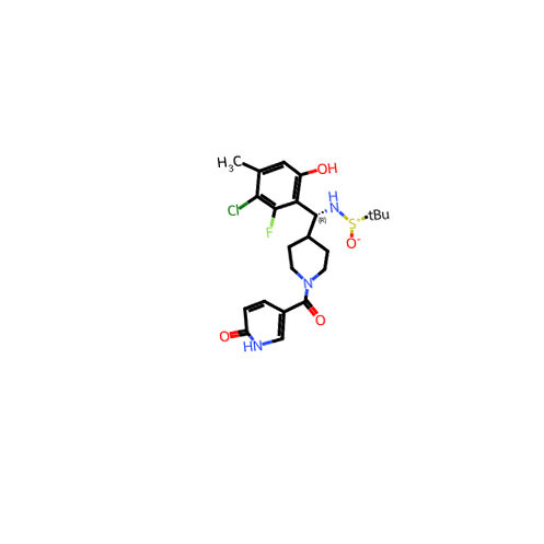 Cc1cc(O)c([C@H](N[S+]([O-])C(C)(C)C)C2CCN(C(=O)c3ccc(=O)[nH]c3)CC2)c(F)c1Cl